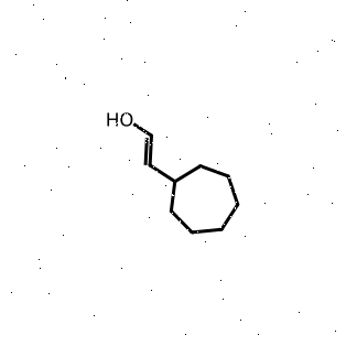 OC=CC1CCCCCC1